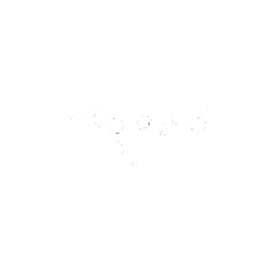 COC(=O)Nc1ccc2c(c1)NC(=O)[C@H](C)CCC[C@H](N1CC[C@@H](c3c(F)ccc(Cl)c3F)NC1=O)c1nc-2c[nH]1